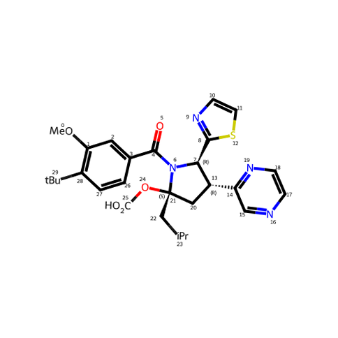 COc1cc(C(=O)N2[C@@H](c3nccs3)[C@H](c3cnccn3)C[C@]2(CC(C)C)OC(=O)O)ccc1C(C)(C)C